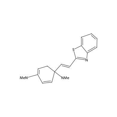 CNC1=CCC(C=Cc2nc3ccccc3s2)(NC)C=C1